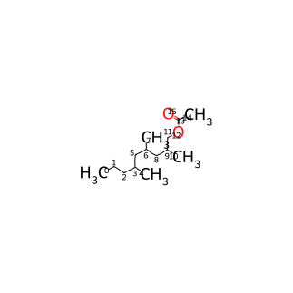 CCCC(C)CC(C)CC(C)COC(C)=O